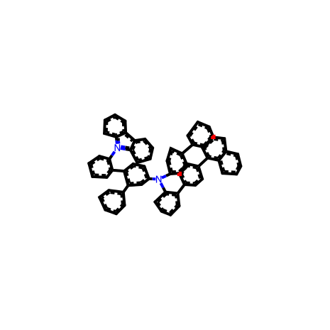 c1ccc(-c2ccc(N(c3ccc(-c4ccccc4-n4c5ccccc5c5ccccc54)c(-c4ccccc4)c3)c3ccccc3-c3ccc(-c4cccc5ccccc45)cc3)cc2)cc1